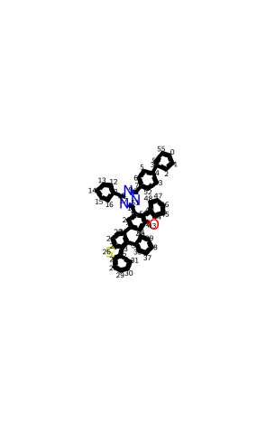 c1ccc(-c2ccc(-c3nc(-c4ccccc4)nc(-c4cc(-c5ccc6sc7ccccc7c6c5-c5ccccc5)cc5oc6ccccc6c45)n3)cc2)cc1